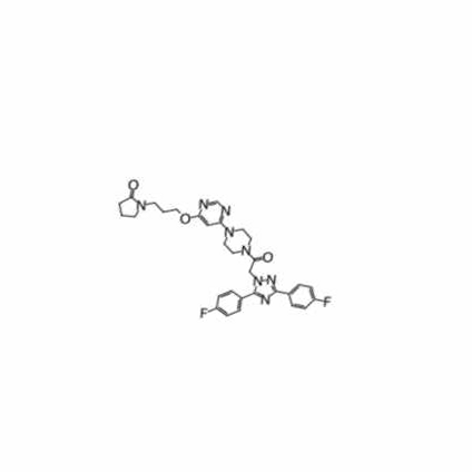 O=C1CCCN1CCCOc1cc(N2CCN(C(=O)Cn3nc(-c4ccc(F)cc4)nc3-c3ccc(F)cc3)CC2)ncn1